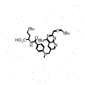 CN(Cc1cnc2nc(C=C=CC(C)(C)C)nc(C(C)(C)C)c2c1)c1ccc(C(=O)NC(CCC(C)(C)C)C(=O)O)cc1